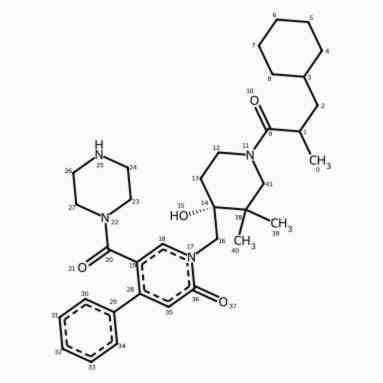 CC(CC1CCCCC1)C(=O)N1CC[C@](O)(Cn2cc(C(=O)N3CCNCC3)c(-c3ccccc3)cc2=O)C(C)(C)C1